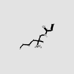 C=CC(=O)OCC(C)(N)CCCC